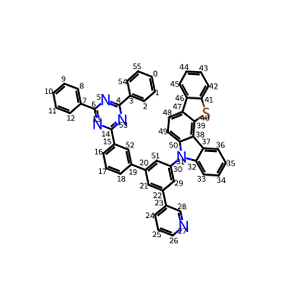 c1ccc(-c2nc(-c3ccccc3)nc(-c3cccc(-c4cc(-c5cccnc5)cc(-n5c6ccccc6c6c7sc8ccccc8c7ccc65)c4)c3)n2)cc1